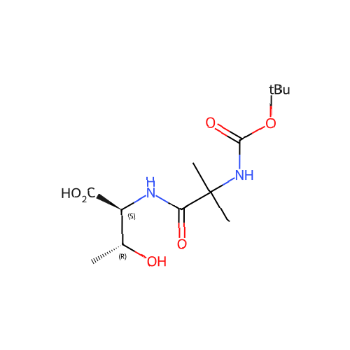 C[C@@H](O)[C@H](NC(=O)C(C)(C)NC(=O)OC(C)(C)C)C(=O)O